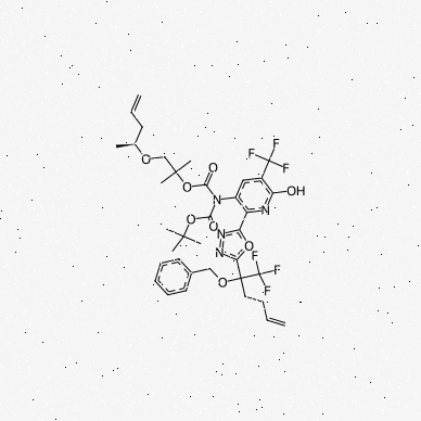 C=CCCC(OCc1ccccc1)(c1nnc(-c2nc(O)c(C(F)(F)F)cc2N(C(=O)OC(C)(C)C)C(=O)OC(C)(C)CO[C@@H](C)CC=C)o1)C(F)(F)F